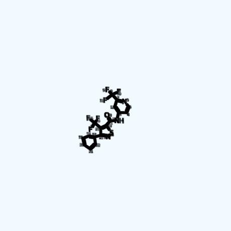 O=C(Nc1ccnc(C(F)(F)F)c1)c1snc(-c2ccccc2)c1C(F)(F)F